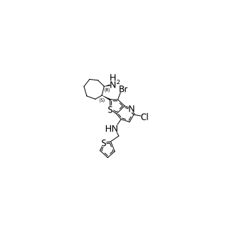 N[C@@H]1CCCCC[C@@H]1c1sc2c(NCc3cccs3)cc(Cl)nc2c1Br